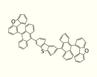 c1ccc2c(c1)oc1cccc(-c3c4ccccc4c(-c4ccc5c(c4)sc4ccc(-c6c7ccccc7c(-c7cccc8oc9ccccc9c78)c7ccccc67)cc45)c4ccccc34)c12